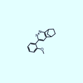 COc1ccccc1-c1cc2c(nn1)C1CCC2C1